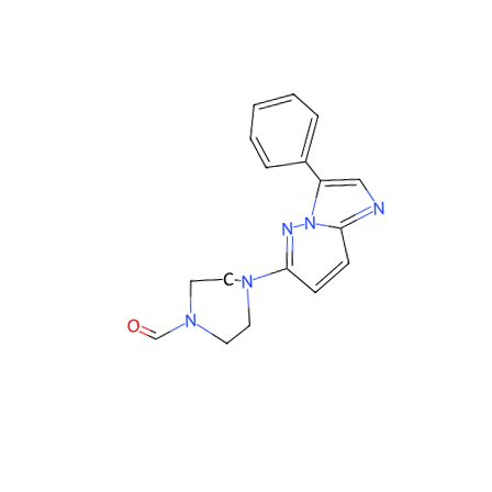 O=CN1CCN(c2ccc3ncc(-c4ccccc4)n3n2)CC1